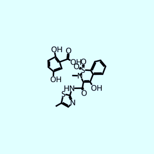 Cc1cnc(NC(=O)C2=C(O)c3ccccc3S(=O)(=O)N2C)s1.O=C(O)c1cc(O)ccc1O